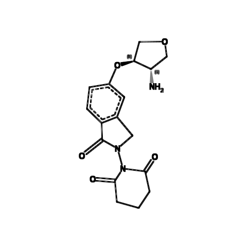 N[C@H]1COC[C@@H]1Oc1ccc2c(c1)CN(N1C(=O)CCCC1=O)C2=O